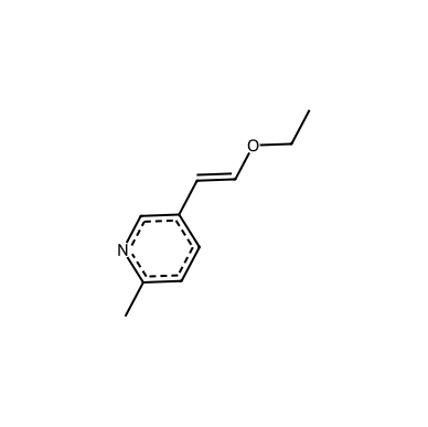 CCOC=Cc1ccc(C)nc1